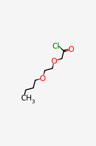 CCCCOCCOCC(=O)Cl